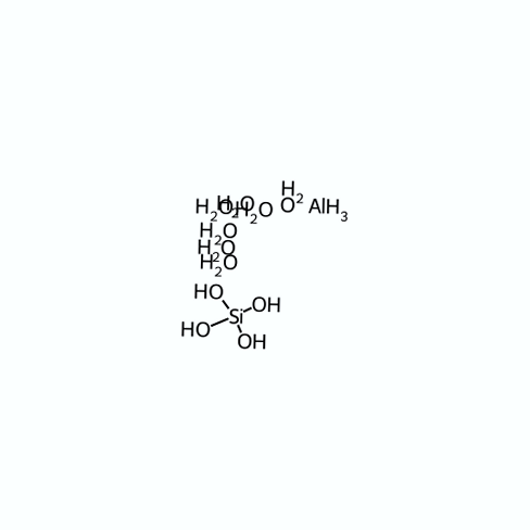 O.O.O.O.O.O.O.O[Si](O)(O)O.[AlH3]